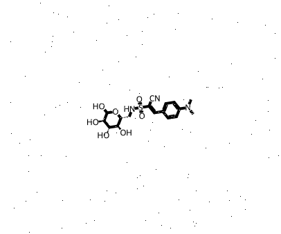 CN(C)c1ccc(/C=C(\C#N)S(=O)(=O)NC[C@H]2OC(O)[C@H](O)[C@@H](O)[C@@H]2O)cc1